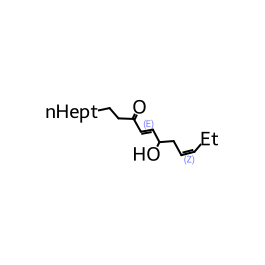 CC/C=C\CC(O)/C=C/C(=O)CCCCCCCCC